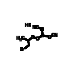 CC(CBr)OOB(OC#N)OC#N.[KH]